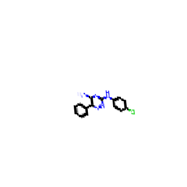 Nc1nc(Nc2ccc(Cl)cc2)nnc1-c1ccccc1